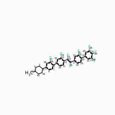 CC1CCC(c2ccc(-c3ccc(/C(F)=C(\F)c4ccc(-c5cc(F)c(F)c(F)c5)c(F)c4)c(F)c3)c(F)c2)CC1